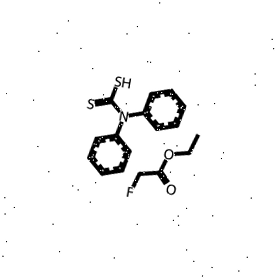 CCOC(=O)CF.S=C(S)N(c1ccccc1)c1ccccc1